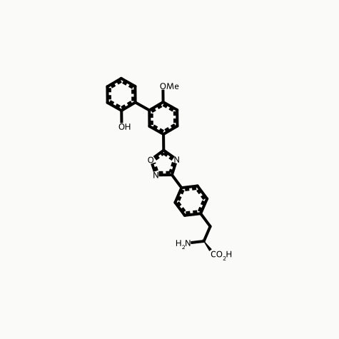 COc1ccc(-c2nc(-c3ccc(C[C@H](N)C(=O)O)cc3)no2)cc1-c1ccccc1O